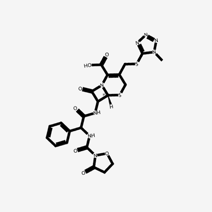 Cn1nnnc1SCC1=C(C(=O)O)N2C(=O)C(NC(=O)C(NC(=O)N3OCCC3=O)c3ccccc3)[C@H]2SC1